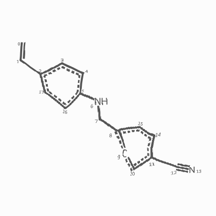 C=Cc1ccc(NCc2ccc(C#N)cc2)cc1